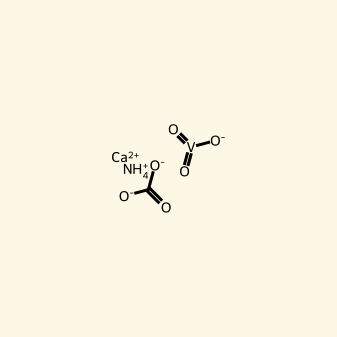 O=C([O-])[O-].[Ca+2].[NH4+].[O]=[V](=[O])[O-]